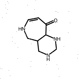 O=C1C=CNCC2CNCNC12